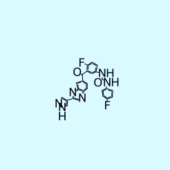 O=C(Nc1ccc(F)cc1)Nc1ccc(F)c(C(=O)c2ccc3ncc(-c4cn[nH]c4)nc3c2)c1